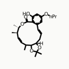 CCCOc1cc(O)c2c(c1)/C=C/C[C@@H]1OC(C)(C)OC1C(C)/C=C\[C@@H](C)[C@H](C)OC2=O